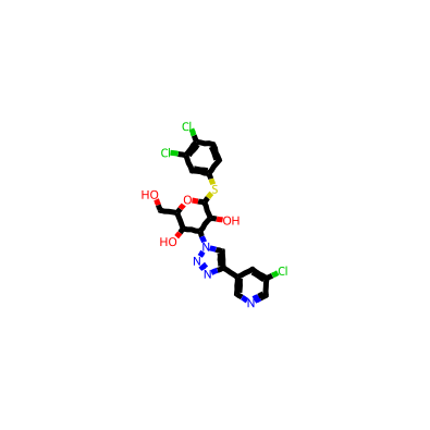 OCC1OC(Sc2ccc(Cl)c(Cl)c2)C(O)C(n2cc(-c3cncc(Cl)c3)nn2)C1O